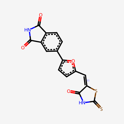 O=C1NC(=S)S/C1=C/c1ccc(-c2ccc3c(c2)C(=O)NC3=O)o1